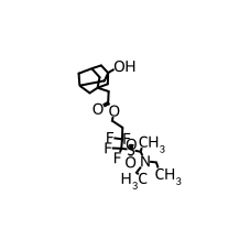 CCN(CC)C(C)S(=O)(=O)C(F)(F)C(F)(F)CCOC(=O)CC12CC3CC(CC(O)(C3)C1)C2